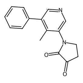 Cc1c(-c2ccccc2)[c]ncc1N1CCC(=O)C1=O